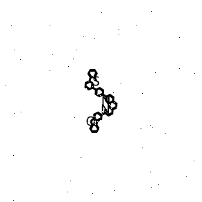 c1ccc2c(c1)oc1ccc(-c3ccc4ccc5ccc(-c6ccc(-c7cccc8c7sc7ccccc78)cc6)nc5c4n3)cc12